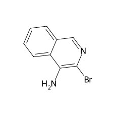 Nc1c(Br)ncc2ccccc12